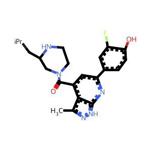 Cc1n[nH]c2nc(-c3ccc(O)c(F)c3)cc(C(=O)N3CCNC(CC(C)C)C3)c12